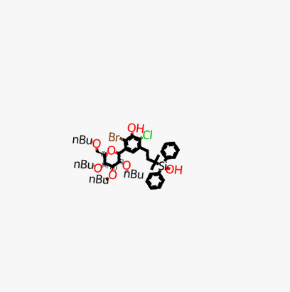 CCCCOC[C@H]1OC(c2cc(CCC(C)(C)[Si](O)(c3ccccc3)c3ccccc3)c(Cl)c(O)c2Br)[C@H](OCCCC)[C@@H](OCCCC)[C@@H]1OCCCC